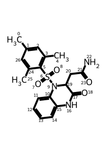 Cc1cc(C)c(S(=O)(=O)N2c3ccccc3NC(=O)C2CC(N)=O)c(C)c1